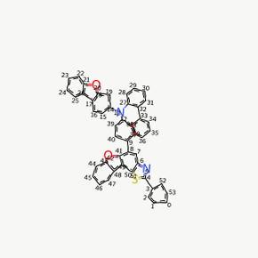 c1ccc(-c2nc3cc(-c4ccc(N(c5ccc6c(c5)oc5ccccc56)c5ccccc5-c5ccccc5)cc4)c4oc5ccccc5c4c3s2)cc1